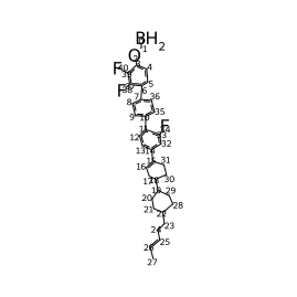 BCOc1ccc(-c2ccc(-c3ccc(C4=CCC(C5CCC(CC/C=C/C)CC5)CC4)cc3F)cc2)c(F)c1F